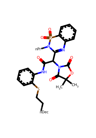 CCCCCCCCCCCCSc1ccccc1NC(=O)C(C1=Nc2ccccc2S(=O)(=O)N1CCC)N1C(=O)OC(C)(C)C1=O